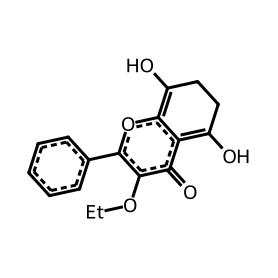 CCOc1c(-c2ccccc2)oc2c(c1=O)=C(O)CCC=2O